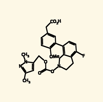 COc1ccc(CC(=O)O)cc1-c1ccc(F)c2c1CN(OC(=O)OCc1cc(C)nn1C)CC2